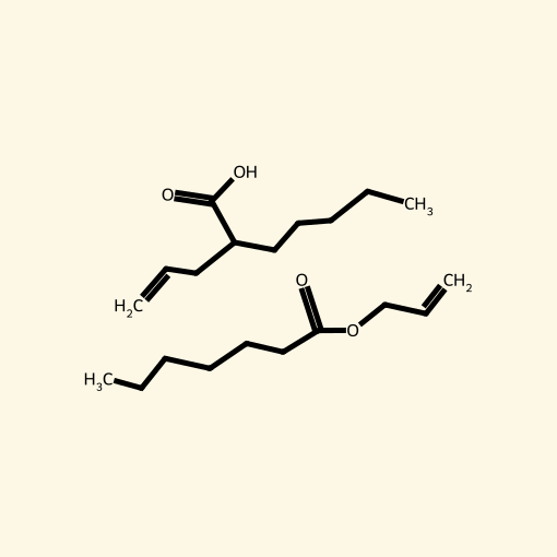 C=CCC(CCCCC)C(=O)O.C=CCOC(=O)CCCCCC